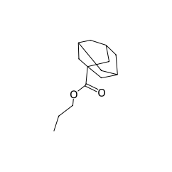 CCCOC(=O)C12CC3CC(CC(C3)C1)C2